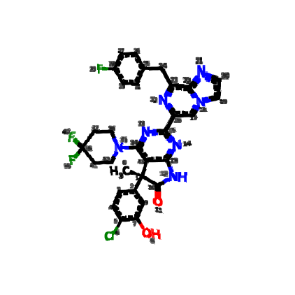 C[C@]1(c2ccc(Cl)c(O)c2)C(=O)Nc2nc(-c3cn4ccnc4c(Cc4ccc(F)cc4)n3)nc(N3CCC(F)(F)CC3)c21